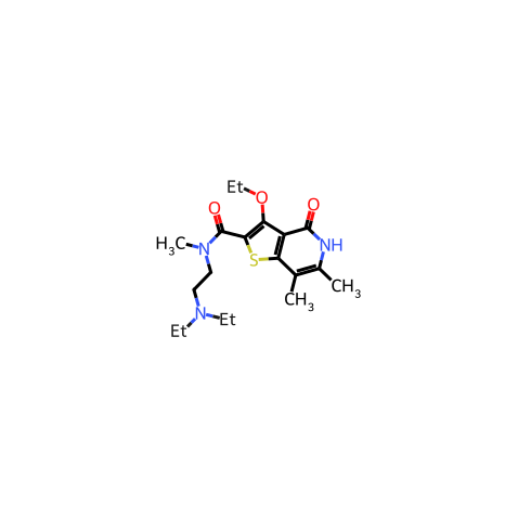 CCOc1c(C(=O)N(C)CCN(CC)CC)sc2c(C)c(C)[nH]c(=O)c12